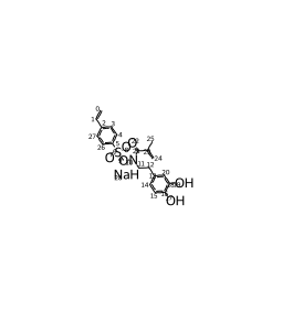 C=Cc1ccc(S(=O)(=O)ON(CCc2ccc(O)c(O)c2)C(=O)C(=C)C)cc1.[NaH]